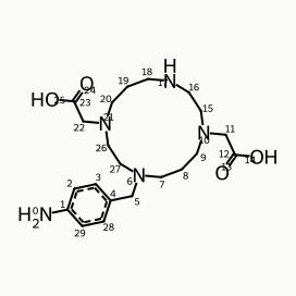 Nc1ccc(CN2CCCN(CC(=O)O)CCNCCCN(CC(=O)O)CC2)cc1